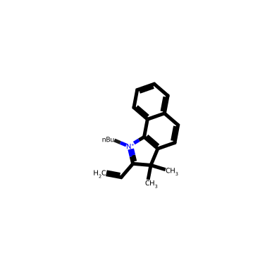 C=CC1=[N+](CCCC)c2c(ccc3ccccc23)C1(C)C